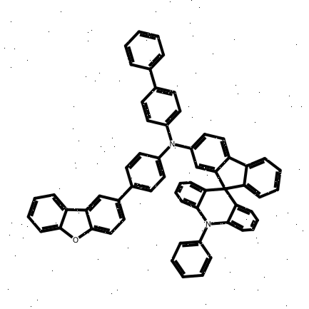 c1ccc(-c2ccc(N(c3ccc(-c4ccc5oc6ccccc6c5c4)cc3)c3ccc4c(c3)C3(c5ccccc5-4)c4ccccc4N(c4ccccc4)c4ccccc43)cc2)cc1